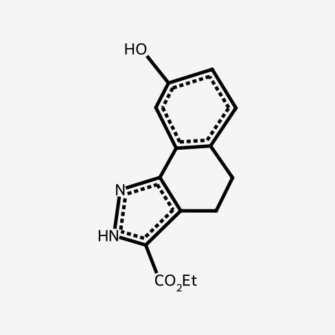 CCOC(=O)c1[nH]nc2c1CCc1ccc(O)cc1-2